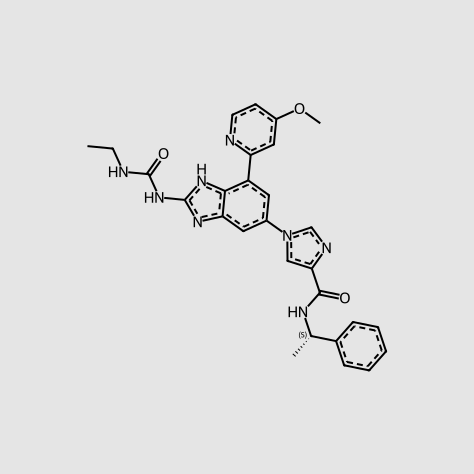 CCNC(=O)Nc1nc2cc(-n3cnc(C(=O)N[C@@H](C)c4ccccc4)c3)cc(-c3cc(OC)ccn3)c2[nH]1